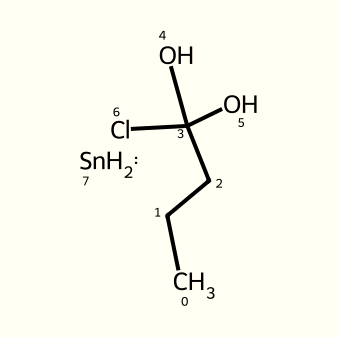 CCCC(O)(O)Cl.[SnH2]